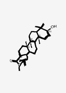 CC1(C)CCC23CC[C@@]4(C)C(CCC5[C@@]6(C)CC[C@H](O)C(C)(C)C6CC[C@]54C)C2C1OC3=O